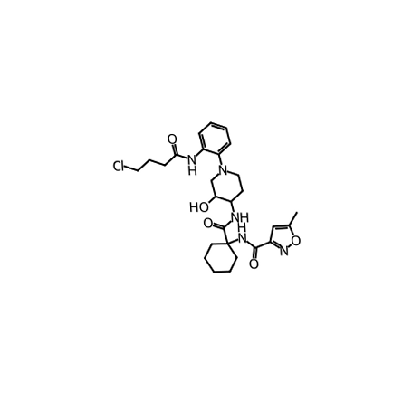 Cc1cc(C(=O)NC2(C(=O)NC3CCN(c4ccccc4NC(=O)CCCCl)CC3O)CCCCC2)no1